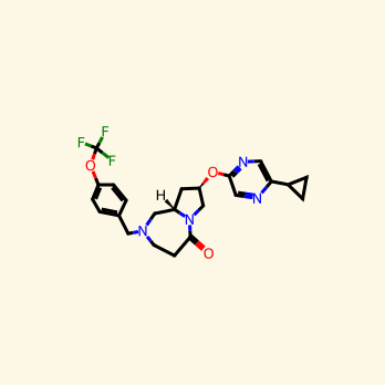 O=C1CCN(Cc2ccc(OC(F)(F)F)cc2)C[C@@H]2C[C@@H](Oc3cnc(C4CC4)cn3)CN12